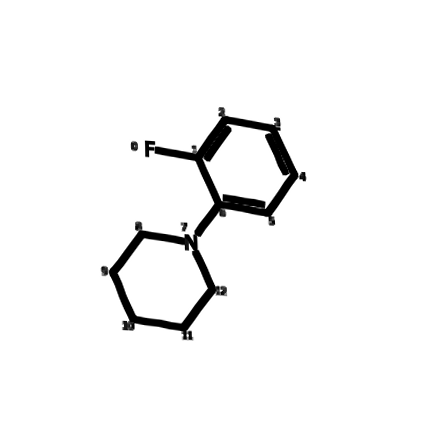 Fc1c[c]ccc1N1CCCCC1